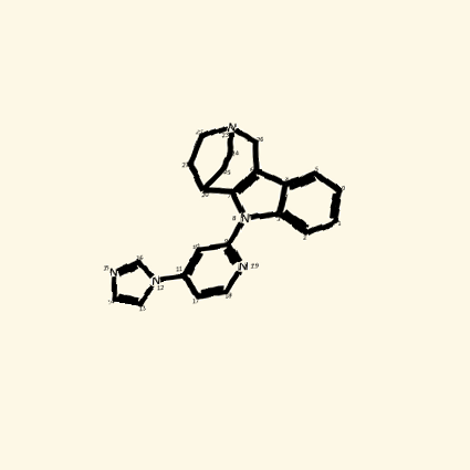 c1ccc2c(c1)c1c(n2-c2cc(-n3ccnc3)ccn2)C2CCN(CC2)C1